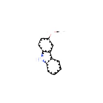 CBc1ccc2[nH]c3ccccc3c2c1